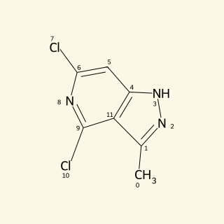 Cc1n[nH]c2cc(Cl)nc(Cl)c12